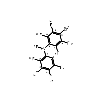 Fc1cc(N(F)c2c(F)c(F)c(Br)c(F)c2F)c(F)c(F)c1F